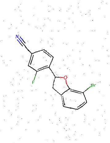 N#Cc1ccc(C2Cc3cccc(Br)c3O2)c(F)c1